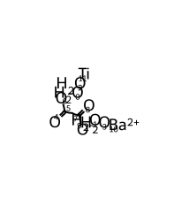 O.O.O.O.O=C([O-])C(=O)[O-].[Ba+2].[Ti]